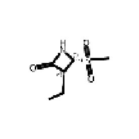 CC[C@H]1C(=O)N[C@@H]1S(C)(=O)=O